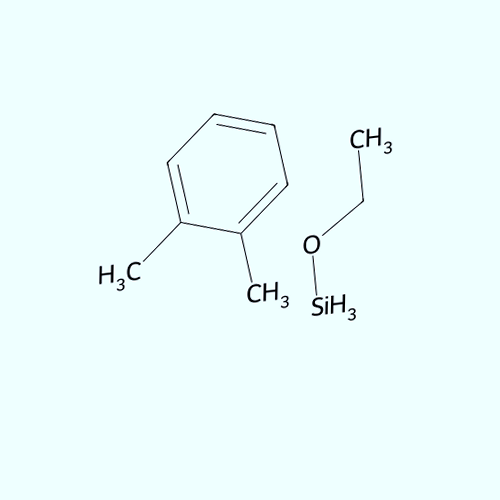 CCO[SiH3].Cc1ccccc1C